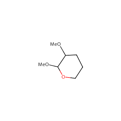 COC1CCCOC1OC